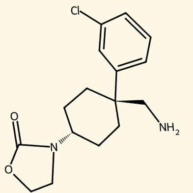 NC[C@]1(c2cccc(Cl)c2)CC[C@@H](N2CCOC2=O)CC1